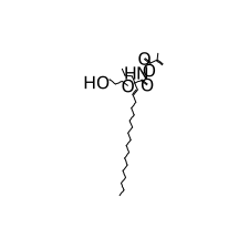 C=C(C)C(=O)ONC(=O)C(C=CCCCCCCCCCCCCCCCC)(CCC)OCCCO